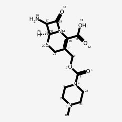 CN1CCN(C(=O)OCC2=C(C(=O)O)N3C(=O)C(N)[C@@H]3SC2)CC1